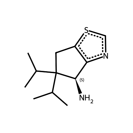 CC(C)C1(C(C)C)Cc2scnc2[C@H]1N